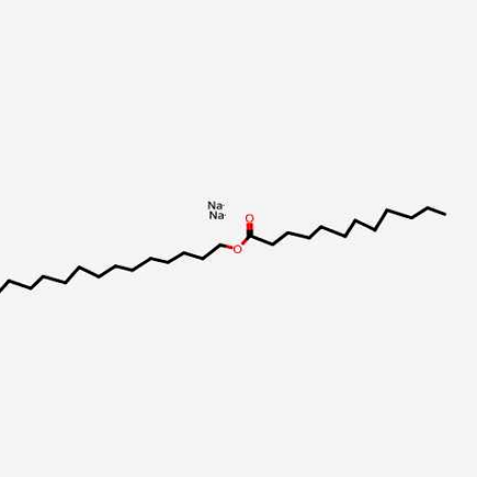 CCCCCCCCCCCCCCOC(=O)CCCCCCCCCCC.[Na].[Na]